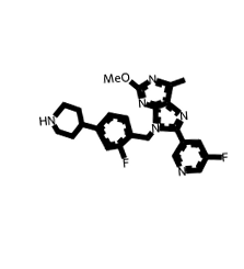 COc1nc(C)c2nc(-c3cncc(F)c3)n(Cc3ccc(C4CCNCC4)cc3F)c2n1